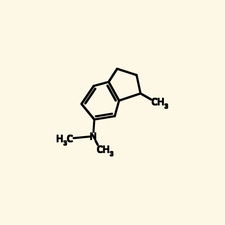 CC1CCc2ccc(N(C)C)cc21